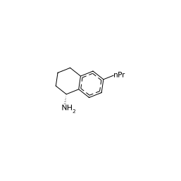 CCCc1ccc2c(c1)CCC[C@H]2N